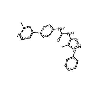 Cc1cc(-c2ccc(NC(=O)Nc3cnn(-c4ccccc4)c3C)cc2)ccn1